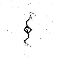 CCCC12CC(CNC)(C1)C2